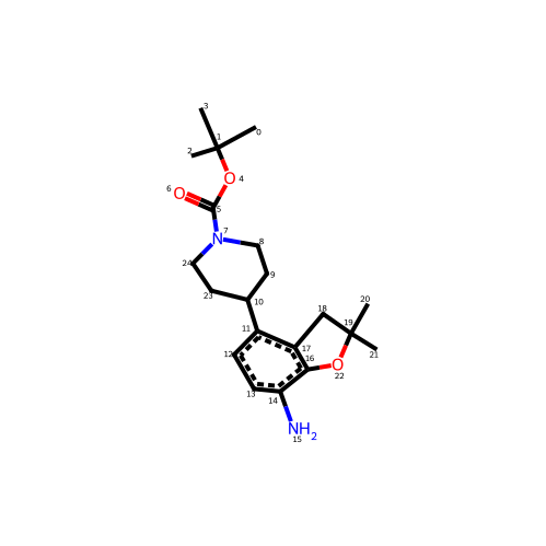 CC(C)(C)OC(=O)N1CCC(c2ccc(N)c3c2CC(C)(C)O3)CC1